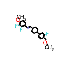 CCOCc1ccc(C2CCC(/C=C/c3ccc(OC)c(F)c3F)CC2)cc1F